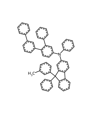 Cc1cccc(C2(c3ccccc3)c3ccccc3-c3ccc(N(c4ccccc4)c4ccc(-c5cccc(-c6ccccc6)c5)c(-c5ccccc5)c4)cc32)c1